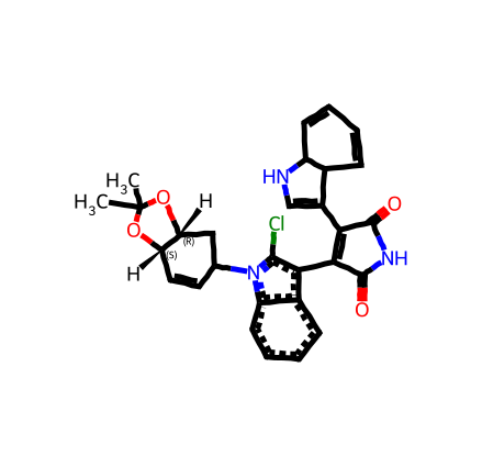 CC1(C)O[C@H]2C=CC(n3c(Cl)c(C4=C(C5=CNC6C=CC=CC56)C(=O)NC4=O)c4ccccc43)C[C@H]2O1